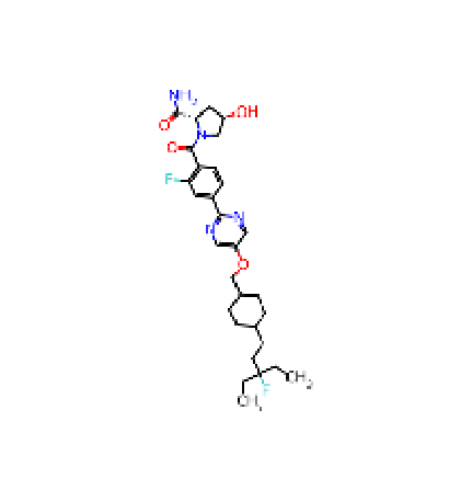 CCC(F)(CC)CCC1CCC(COc2cnc(-c3ccc(C(=O)N4C[C@H](O)C[C@H]4C(N)=O)c(F)c3)nc2)CC1